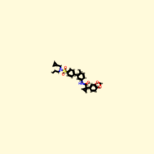 CCCN(CC1CC1)S(=O)(=O)c1ccc(-c2cc(NC(=O)C3(c4ccc5c(c4)OCO5)CC3)ccc2C)cc1